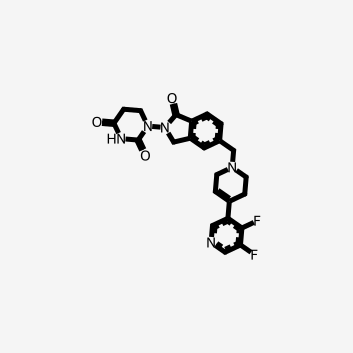 O=C1CCN(N2Cc3cc(CN4CC=C(c5cncc(F)c5F)CC4)ccc3C2=O)C(=O)N1